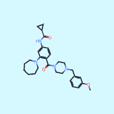 COc1cccc(CN2CCN(C(=O)c3ccc(NC(=O)C4CC4)cc3N3CCCCCC3)CC2)c1